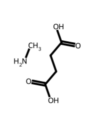 CN.O=C(O)CCC(=O)O